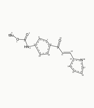 CC(C)(C)OC(=O)Nc1ccc(C(=O)/C=C/c2ccccn2)cc1